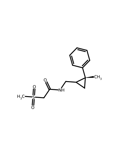 C[C@@]1(c2ccccc2)CC1CNC(=O)CS(C)(=O)=O